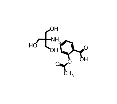 CC(=O)Oc1ccccc1C(=O)O.NC(CO)(CO)CO